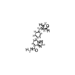 NC(=O)c1ccc(-c2ccc(CN3C[C@@H]4C[C@H]3CO4)cc2)n2n[c]nc12